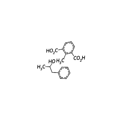 CC(O)Cc1ccccc1.Cc1c(C(=O)O)cccc1C(=O)O